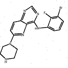 Fc1c(Br)cccc1Nc1ncnc2ccc(N3CCNCC3)nc12